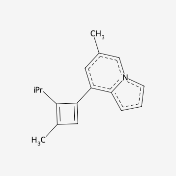 CC1=C(C(C)C)C(c2cc(C)cn3cccc23)=C1